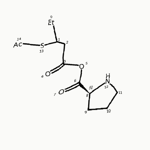 CCC(CC(=O)OC(=O)[C@@H]1CCCN1)SC(C)=O